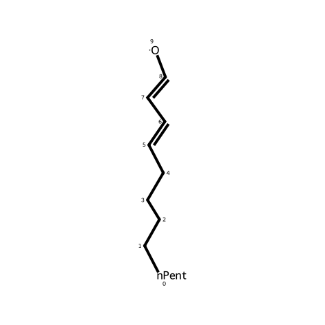 CCCCCCCCCC=CC=C[O]